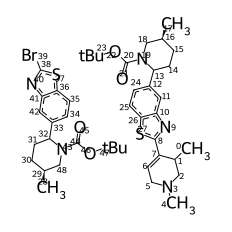 CC1CN(C)CC=C1c1nc2cc(C3CC[C@H](C)CN3C(=O)OC(C)(C)C)ccc2s1.C[C@H]1CCC(c2ccc3sc(Br)nc3c2)N(C(=O)OC(C)(C)C)C1